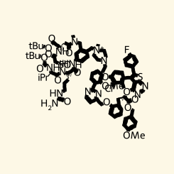 COc1ccc(COC(=O)[C@@H](Cc2ccccc2OCc2ccnc(-c3ccccc3OC)n2)Oc2ncnc3sc(-c4ccc(F)cc4)c(-c4ccc(OCCN5CC[N+](C)(Cc6ccc(NC(=O)[C@H](CCCNC(N)=O)NC(=O)[C@@H](NC(=O)OC(C)(C)C)C(C)C)cc6CN(C)C(=O)C[C@H](NC(=O)CS(=O)(=O)O)C(=O)OC(C)(C)C)CC5)c(Cl)c4C)c23)cc1